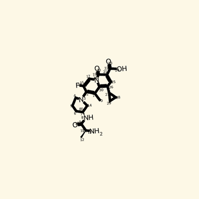 Cc1c(N2CCC[C@@H](NC(=O)[C@H](C)N)C2)c(F)cn2c(=O)c(C(=O)O)cc(C3CC3)c12